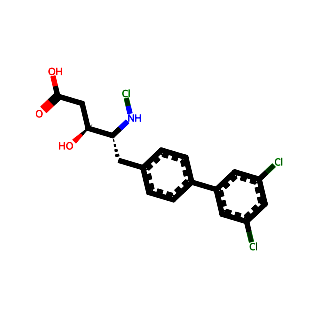 O=C(O)C[C@H](O)[C@@H](Cc1ccc(-c2cc(Cl)cc(Cl)c2)cc1)NCl